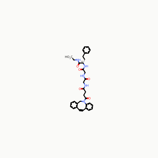 O=C(O)CNC(=O)[C@H](CCc1ccccc1)NC(=O)CNC(=O)CNC(=O)CCC(=O)N1Cc2ccccc2C#Cc2ccccc21